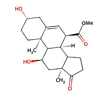 COC(=O)[C@@H]1C=C2C[C@@H](O)CC[C@]2(C)C2[C@@H]1C1CCC(=O)[C@@]1(C)C[C@H]2O